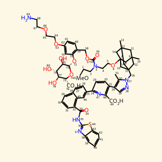 COCCN(CCOC12CC3(C)CC(C)(CC(Cn4ncc(-c5ccc(-c6ccc7cccc(C(=O)Nc8nc9ccccc9s8)c7c6)nc5C(=O)O)c4C)(C3)C1)C2)C(=O)OCc1ccc(OCCOCCN)cc1O[C@@H]1O[C@H](C(=O)O)[C@@H](O)[C@H](O)[C@H]1O